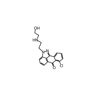 O=C1c2c(Cl)cccc2-c2nn(CCNCCO)c3cccc1c23